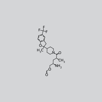 C[C@@H](C[C@@H](N)COC=O)C(=O)N1CCC(C2(C)Cc3cc(C(F)(F)F)ccc3O2)CC1